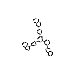 c1cc(-c2ccc3ccccc3c2)cc(-c2nc(-c3ccc(-c4ccc5ccccc5c4)cc3)cc(-c3ccc(-c4cncc5ccccc45)cc3)n2)c1